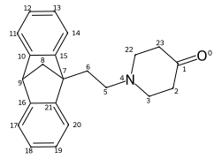 O=C1CCN(CCC23CC(c4ccccc42)c2ccccc23)CC1